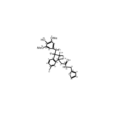 COc1cc(C(F)C2(F)c3ccc(F)cc3C(F)(CC(=O)NCc3ccco3)C2(C)F)cc(OC)c1O